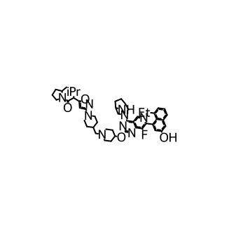 CCc1cccc2cc(O)cc(-c3ncc4c(N5CC6CCC(C5)N6)nc(OC5CCN(CC6CCN(c7cc(C(C(=O)N8CCCC8C)C(C)C)on7)CC6)CC5)nc4c3F)c12